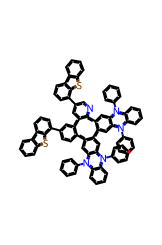 c1ccc(-n2c3ccccc3n(-c3ccccc3)c3cc4c(cc32)c2ccc(-c3cccc5c3sc3ccccc35)cc2c2cc(-c3cccc5c3sc3ccccc35)cnc2c2cc3c(cc42)n(-c2ccccc2)c2ccccc2n3-c2ccccc2)cc1